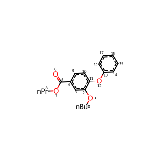 CCCCOc1cc(C(=O)OCCC)ccc1Oc1ccccc1